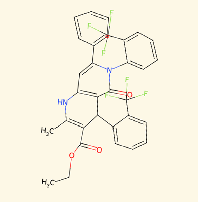 CCOC(=O)C1=C(C)Nc2cc(-c3ccccc3)n(-c3ccccc3C(F)(F)F)c(=O)c2C1c1ccccc1C(F)(F)F